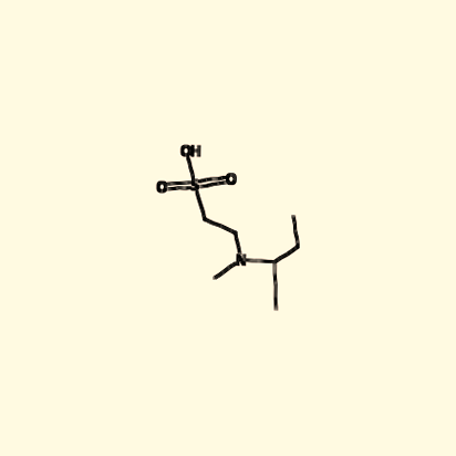 CCC(C)N(C)CCS(=O)(=O)O